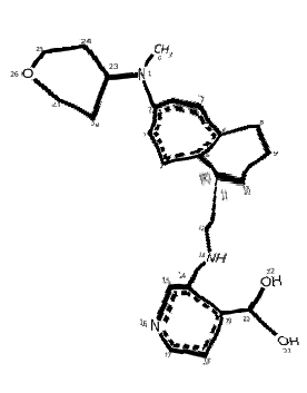 CN(c1ccc2c(c1)CCC[C@H]2CNc1cnccc1C(O)O)C1CCOCC1